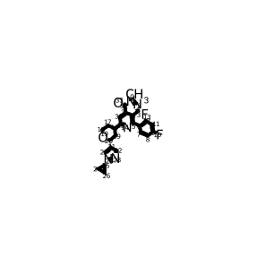 Cn1ncc2c(-c3ccc(F)cc3F)nc(C3CCO[C@@H](c4cnn(C5CC5)c4)C3)cc2c1=O